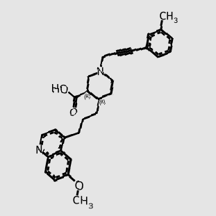 COc1ccc2nccc(CCC[C@@H]3CCN(CC#Cc4cccc(C)c4)C[C@@H]3C(=O)O)c2c1